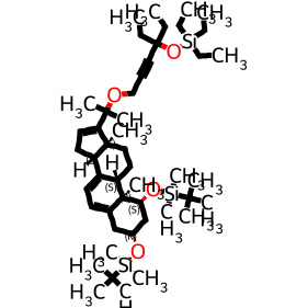 CCC(C#CCOC(C)(C)C1=CC[C@H]2C3=CC=C4C[C@@H](O[Si](C)(C)C(C)(C)C)C[C@H](O[Si](C)(C)C(C)(C)C)[C@]4(C)[C@H]3CC[C@]12C)(CC)O[Si](CC)(CC)CC